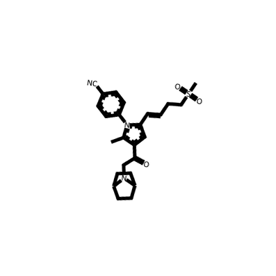 Cc1c(C(=O)CN2C3CCC2CC3)cc(C=CCCS(C)(=O)=O)n1-c1ccc(C#N)cc1